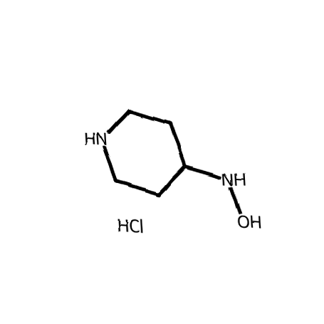 Cl.ONC1CCNCC1